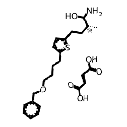 C[C@H](CCc1ccc(CCCCOCc2ccccc2)s1)C(N)O.O=C(O)C=CC(=O)O